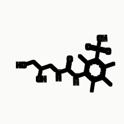 Cc1c(C)c(NC(=O)NCC(O)CO)c(C)c(S(=O)(=O)O)c1C